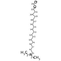 CCN(CC)CCCCCCCCCCCCCCCCCCOC=O